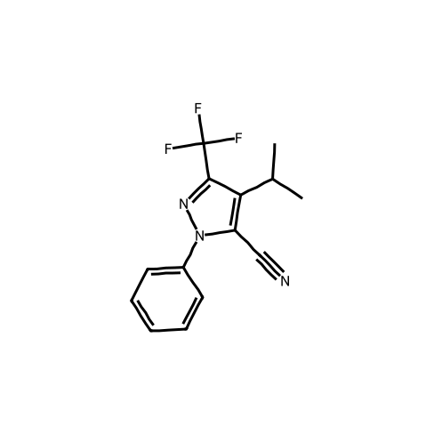 CC(C)c1c(C(F)(F)F)nn(-c2ccccc2)c1C#N